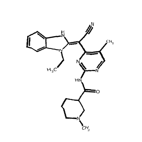 CCN1C(=C(C#N)c2nc(NC(=O)C3CCCN(C)C3)ncc2C)Nc2ccccc21